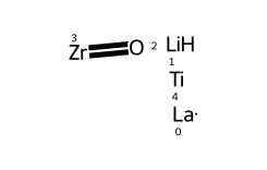 [La].[LiH].[O]=[Zr].[Ti]